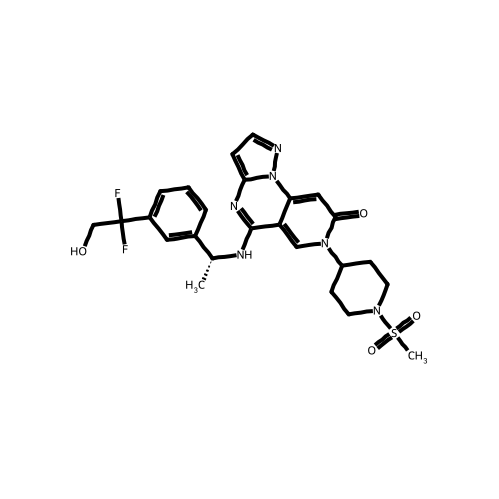 C[C@@H](Nc1nc2ccnn2c2cc(=O)n(C3CCN(S(C)(=O)=O)CC3)cc12)c1cccc(C(F)(F)CO)c1